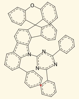 c1ccc(-c2nc(-c3ccccc3)nc(-n3c4c(-c5ccccc5)cccc4c4ccc5c(c43)-c3ccccc3C53c4ccccc4Oc4ccccc43)n2)cc1